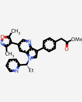 CC[C@H](c1ccccn1)n1cc(-c2ccc(CC(=O)OC)cc2)c2ncc(-c3c(C)noc3C)cc21